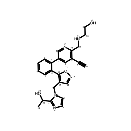 C#Cc1cc(-c2ccccc2-c2oncc2Cn2ccnc2C(C)O)cnc1CNCCO